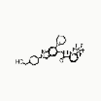 O=C(Nc1cc2cn(C3CCC(CO)CC3)nc2cc1N1CCCCC1)c1cccc(S(F)(F)(F)(F)F)n1